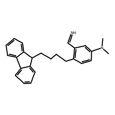 CN(C)c1ccc(CCCCC2c3ccccc3-c3ccccc32)c(C=N)c1